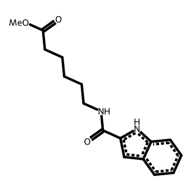 COC(=O)CCCCCNC(=O)c1cc2ccccc2[nH]1